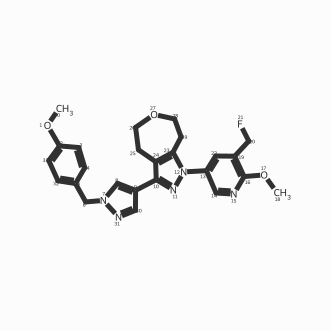 COc1ccc(Cn2cc(-c3nn(-c4cnc(OC)c(CF)c4)c4c3CCOCC4)cn2)cc1